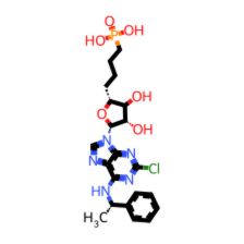 C[C@H](Nc1nc(Cl)nc2c1ncn2[C@@H]1O[C@H](CCCCP(=O)(O)O)C(O)[C@@H]1O)c1ccccc1